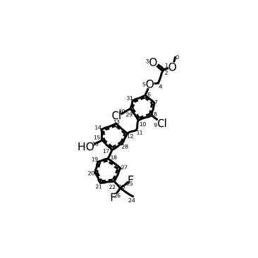 COC(=O)COc1cc(Cl)c(Cc2ccc(O)c(-c3cccc(C(C)(F)F)c3)c2)c(Cl)c1